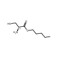 CCCCCOC(=O)[C@@H](N)CO